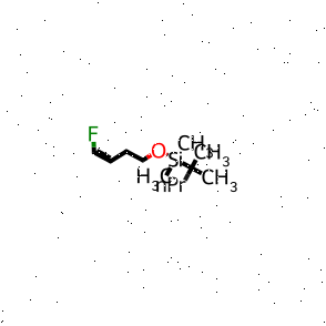 CCCC(C)(C)[Si](C)(C)OCC/C=C\F